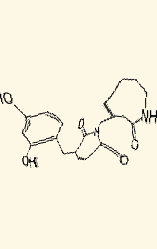 O=C1NCCCCC1N1C(=O)CC(Cc2ccc(O)cc2O)C1=O